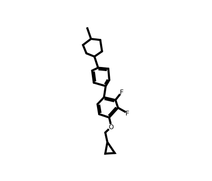 CC1CCC(c2ccc(-c3ccc(OCC4CC4)c(F)c3F)cc2)CC1